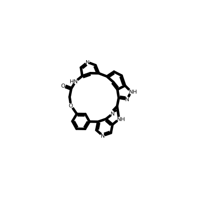 O=C1COc2cccc(c2)-c2cncc3[nH]c(nc23)-c2n[nH]c3ccc(cc23)-c2cncc(c2)N1